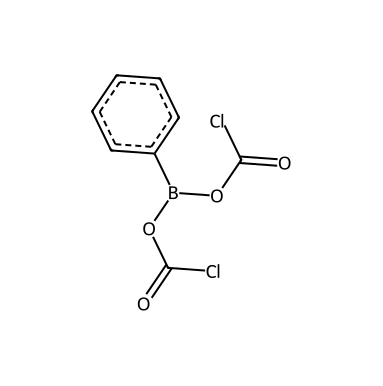 O=C(Cl)OB(OC(=O)Cl)c1ccccc1